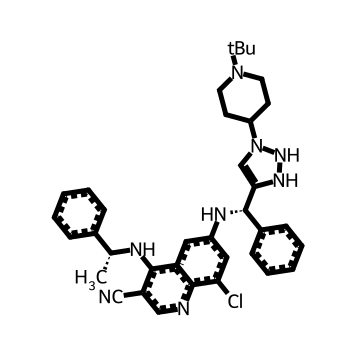 C[C@@H](Nc1c(C#N)cnc2c(Cl)cc(N[C@H](C3=CN(C4CCN(C(C)(C)C)CC4)NN3)c3ccccc3)cc12)c1ccccc1